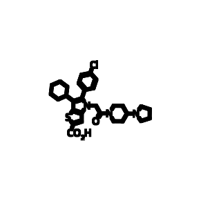 O=C(O)c1cc2c(s1)c(C1CCCCC1)c(-c1ccc(Cl)cc1)n2CC(=O)N1CCC(N2CCCC2)CC1